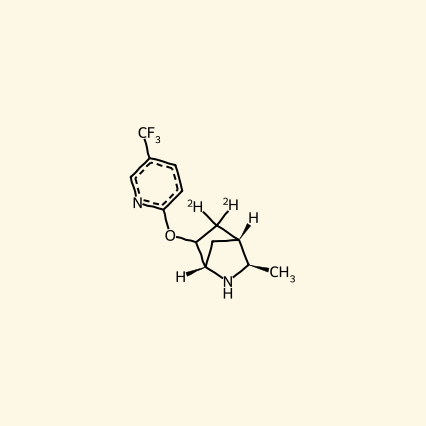 [2H]C1([2H])C(Oc2ccc(C(F)(F)F)cn2)[C@@H]2C[C@H]1[C@@H](C)N2